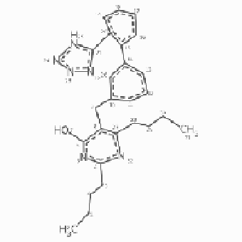 CCCCc1nc(O)c(Cc2cccc(-c3ccccc3-c3nnn[nH]3)c2)c(CCCC)n1